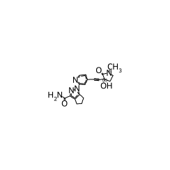 CN1CC[C@@](O)(C#Cc2ccnc(-n3nc(C(N)=O)c4c3CCC4)c2)C1=O